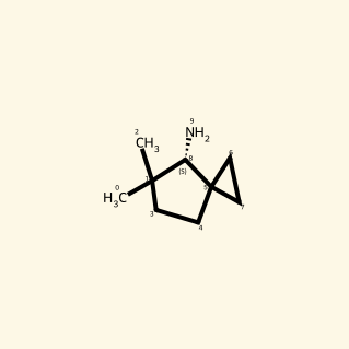 CC1(C)CCC2(CC2)[C@H]1N